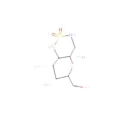 O=S1(=O)NC[C@H]2OC(CO)[C@H](O)[C@H](O)C2N1